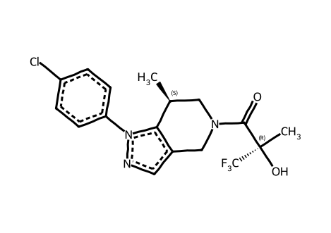 C[C@H]1CN(C(=O)[C@@](C)(O)C(F)(F)F)Cc2cnn(-c3ccc(Cl)cc3)c21